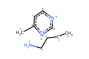 CCCCN.Cc1ccncn1